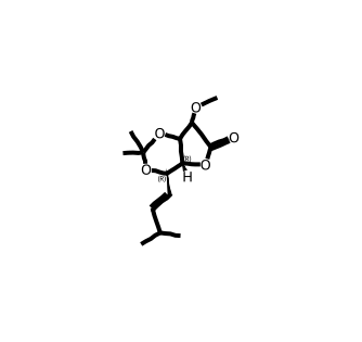 COC1C(=O)O[C@H]2C1OC(C)(C)O[C@@H]2C=CC(C)C